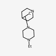 CCN1CCN(C2CN3CCC2CC3)CC1